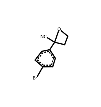 N#CC1(c2ccc(Br)cc2)CCO1